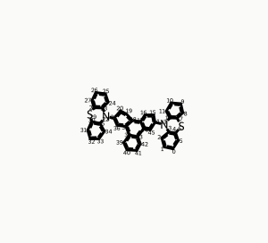 c1ccc2c(c1)Sc1ccccc1N2c1ccc2c3ccc(N4c5ccccc5Sc5ccccc54)cc3c3ccccc3c2c1